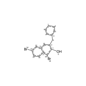 Oc1c(Cc2ccccc2)cc2cc(Br)ccc2c1Br